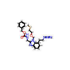 CSCCOCn1c(CNC(=O)OCc2ccccc2)nc2cccc(CCN=[N+]=[N-])c21